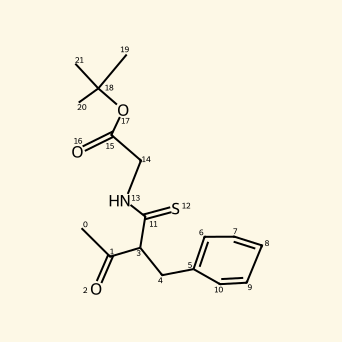 CC(=O)C(Cc1ccccc1)C(=S)NCC(=O)OC(C)(C)C